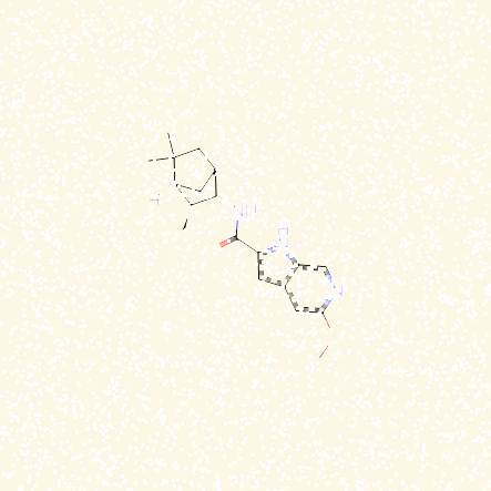 COc1cc2cc(C(=O)N[C@H]3C4C[C@@H]([C@@H]3C)C(C)(C)C4)[nH]c2cn1